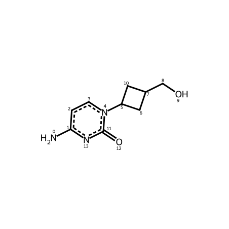 Nc1ccn(C2CC(CO)C2)c(=O)n1